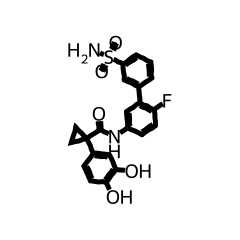 NS(=O)(=O)c1cccc(-c2cc(NC(=O)C3(c4ccc(O)c(O)c4)CC3)ccc2F)c1